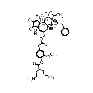 C=C(C)[C@]12C[C@@H](C)[C@@]34O[C@](Cc5ccccc5)(O[C@@H]1[C@@H]3CC(COC(=O)Cc1ccc(OC(=O)N(CCN)CCN)c(OC)c1)=C[C@]1(O)C(=O)C(C)=C[C@@H]41)O2